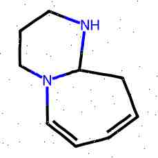 C1=CCC2NCCCN2C=C1